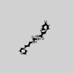 O=C(NNC(=S)NCCCN1CCOCC1)c1cn2ccc(Cl)cc2n1